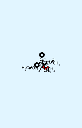 C=CCOc1ccc(C[C@]2(OC(C)=O)[C@@H](Oc3ccccc3)O[C@H](COC(C)=O)[C@@H](OC(C)=O)[C@@H]2OC(C)=O)cc1